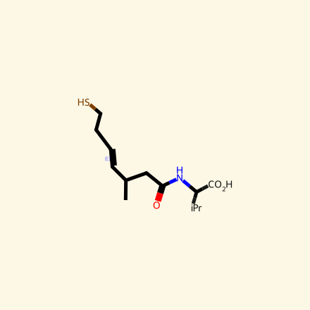 CC(/C=C/CCS)CC(=O)NC(C(=O)O)C(C)C